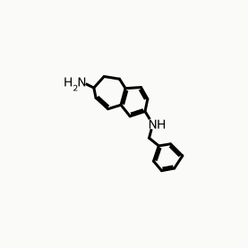 NC1C=Cc2cc(NCc3ccccc3)ccc2CC1